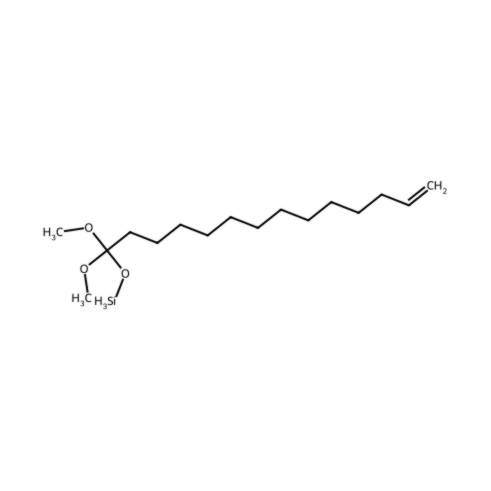 C=CCCCCCCCCCCCC(OC)(OC)O[SiH3]